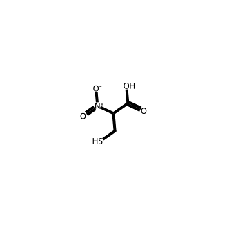 O=C(O)C(CS)[N+](=O)[O-]